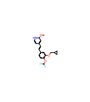 COC1C=C(C=Cc2ccc(OC(F)F)c(OCC3CC3)c2)C=CN1